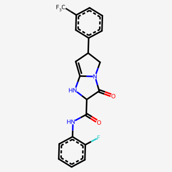 O=C(Nc1ccccc1F)C1NC2=CC(c3cccc(C(F)(F)F)c3)CN2C1=O